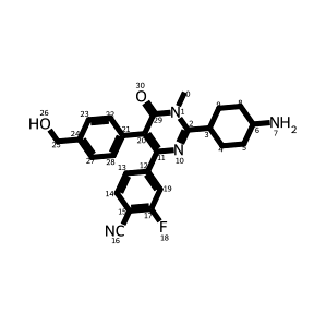 Cn1c(C2CCC(N)CC2)nc(-c2ccc(C#N)c(F)c2)c(-c2ccc(CO)cc2)c1=O